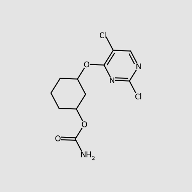 NC(=O)OC1CCCC(Oc2nc(Cl)ncc2Cl)C1